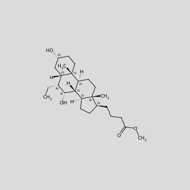 CC[C@H]1[C@@H](O)[C@@H]2[C@H](CC[C@]3(C)[C@@H](CCCC(=O)OC)CC[C@@H]23)[C@@]2(C)CC[C@@H](O)C[C@@H]12